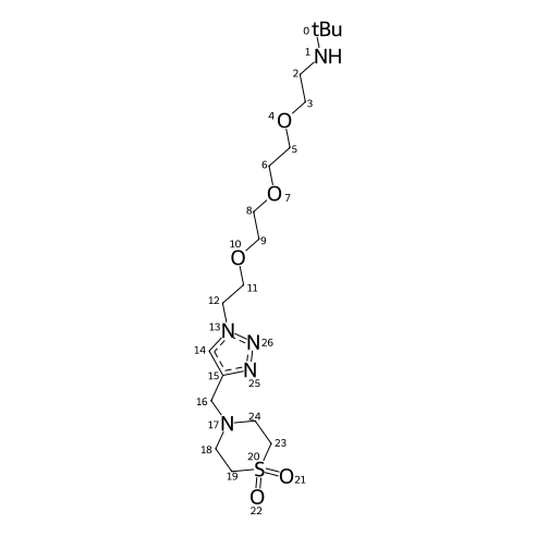 CC(C)(C)NCCOCCOCCOCCn1cc(CN2CCS(=O)(=O)CC2)nn1